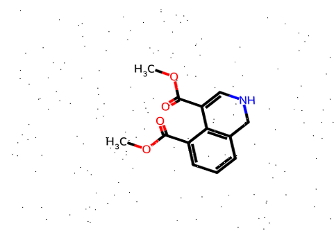 COC(=O)C1=CNCc2cccc(C(=O)OC)c21